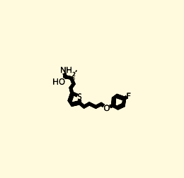 C[C@H](CCc1ccc(CCCCOc2ccc(F)cc2)s1)C(N)O